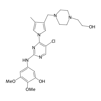 COc1cc(Nc2ncc(Cl)c(-n3cc(C)c(CN4CCN(CCO)CC4)c3)n2)cc(O)c1OC